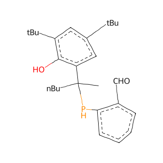 CCCCC(C)(Pc1ccccc1C=O)c1cc(C(C)(C)C)cc(C(C)(C)C)c1O